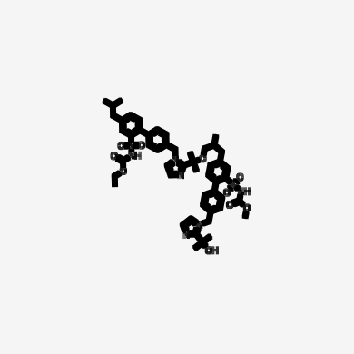 CCOC(=O)NS(=O)(=O)c1cc(CC(C)C)ccc1-c1ccc(Cn2ccnc2C(C)(C)OCC(C)Cc2ccc(-c3ccc(Cn4ccnc4C(C)(C)O)cc3)c(S(=O)(=O)NC(=O)OC)c2)cc1